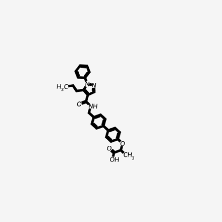 CCCc1c(C(=O)NCc2ccc(-c3ccc(OC(C)C(=O)O)cc3)cc2)cnn1-c1ccccc1